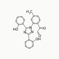 Cc1ccc(C(=O)C=O)c(-n2nc(-c3ccccc3O)nc2-c2ccccc2O)c1